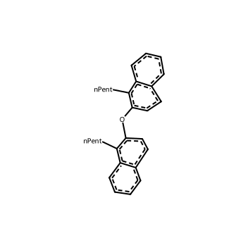 CCCCCc1c(Oc2ccc3ccccc3c2CCCCC)ccc2ccccc12